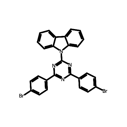 Brc1ccc(-c2nc(-c3ccc(Br)cc3)nc(-n3c4ccccc4c4ccccc43)n2)cc1